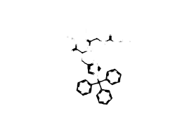 C[C@H](NC(=O)OC(C)(C)C)C(=O)N[C@@H](Cc1cn(C(c2ccccc2)(c2ccccc2)c2ccccc2)cn1)C(=O)OC(C)(C)C